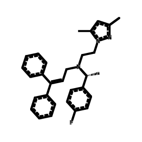 Cc1cc(C)n(CCN(CC=C(c2ccccc2)c2ccccc2)[C@H](C)c2ccc(F)cc2)n1